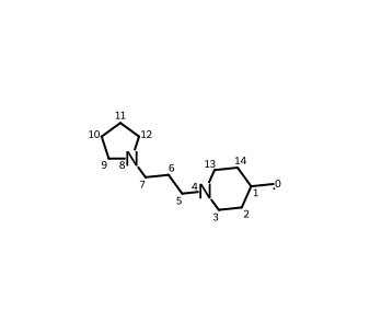 [CH2]C1CCN(CCCN2CCCC2)CC1